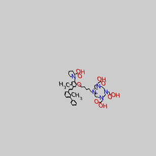 Cc1cc(CN2CCCC[C@H]2C(=O)O)c(OCCCCCN2CCN(CC(=O)O)CCN(CC(=O)O)CCN(CC(=O)O)CC2)cc1/C=C/c1cccc(-c2ccccc2)c1C